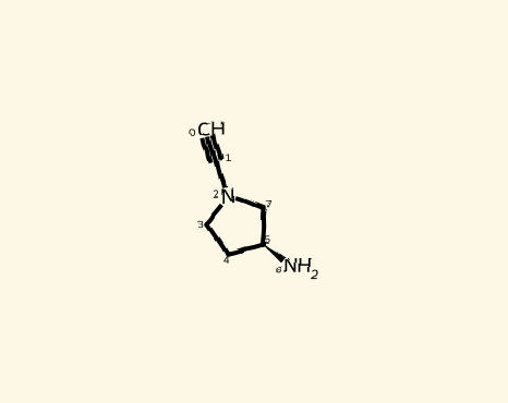 C#CN1CC[C@H](N)C1